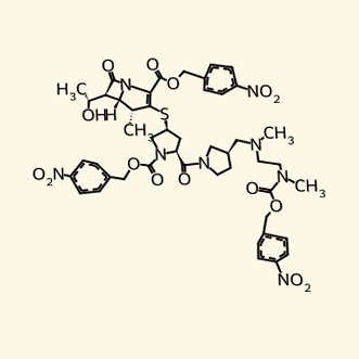 C[C@@H](O)[C@H]1C(=O)N2C(C(=O)OCc3ccc([N+](=O)[O-])cc3)=C(S[C@H]3C[C@@H](C(=O)N4CC[C@H](CN(C)CCN(C)C(=O)OCc5ccc([N+](=O)[O-])cc5)C4)N(C(=O)OCc4ccc([N+](=O)[O-])cc4)C3)[C@H](C)[C@H]12